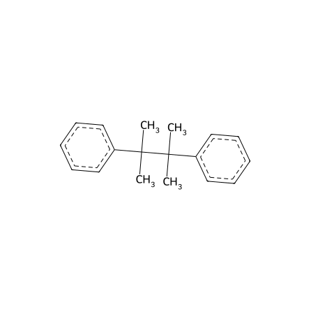 CC(C)(c1ccccc1)C(C)(C)c1ccccc1